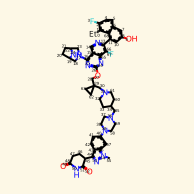 CCc1c(F)ccc2cc(O)cc(-c3ncc4c(N5CC6CCC(C5)N6)nc(OCC5(CN6CCC(CN7CCN(c8ccc9c(C%10CCC(=O)NC%10=O)nn(C)c9c8)CC7)CC6)CC5)nc4c3F)c12